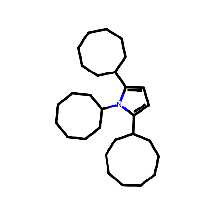 c1cc(C2CCCCCCC2)n(C2CCCCCCC2)c1C1CCCCCCCC1